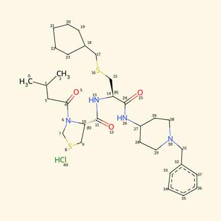 CC(C)CC(=O)N1CSC[C@H]1C(=O)N[C@@H](CSCC1CCCCC1)C(=O)NC1CCN(Cc2ccccc2)CC1.Cl